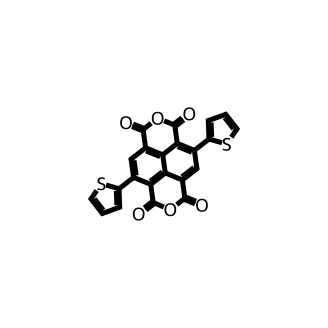 O=C1OC(=O)c2c(-c3cccs3)cc3c4c(c(-c5cccs5)cc1c24)C(=O)OC3=O